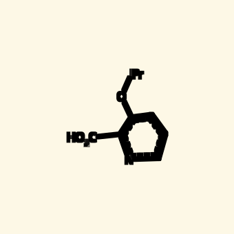 CC(C)Oc1cccnc1C(=O)O